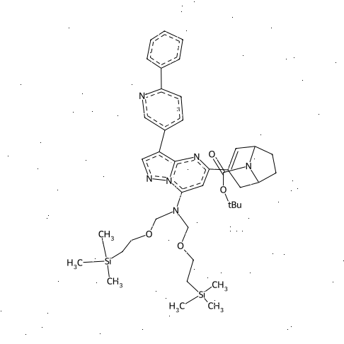 CC(C)(C)OC(=O)N1C2C=C(c3cc(N(COCC[Si](C)(C)C)COCC[Si](C)(C)C)n4ncc(-c5ccc(-c6ccccc6)nc5)c4n3)CC1CC2